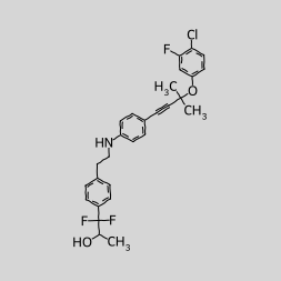 CC(O)C(F)(F)c1ccc(CCNc2ccc(C#CC(C)(C)Oc3ccc(Cl)c(F)c3)cc2)cc1